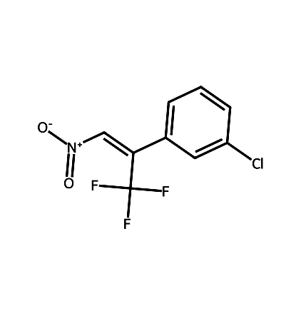 O=[N+]([O-])C=C(c1cccc(Cl)c1)C(F)(F)F